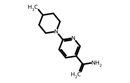 C=C(N)c1ccc(N2CCC(C)CC2)nc1